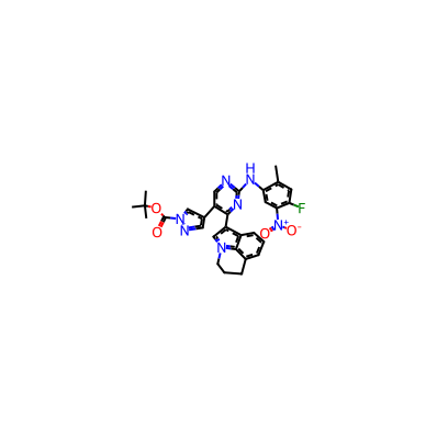 Cc1cc(F)c([N+](=O)[O-])cc1Nc1ncc(-c2cnn(C(=O)OC(C)(C)C)c2)c(-c2cn3c4c(cccc24)CCC3)n1